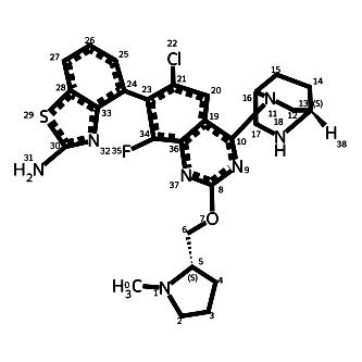 CN1CCC[C@H]1COc1nc(N2C[C@@H]3CCC2CN3)c2cc(Cl)c(-c3cccc4sc(N)nc34)c(F)c2n1